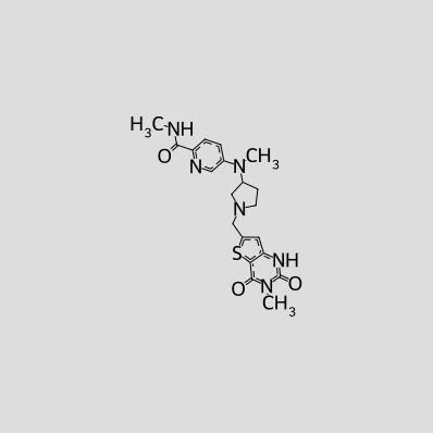 CNC(=O)c1ccc(N(C)C2CCN(Cc3cc4[nH]c(=O)n(C)c(=O)c4s3)C2)cn1